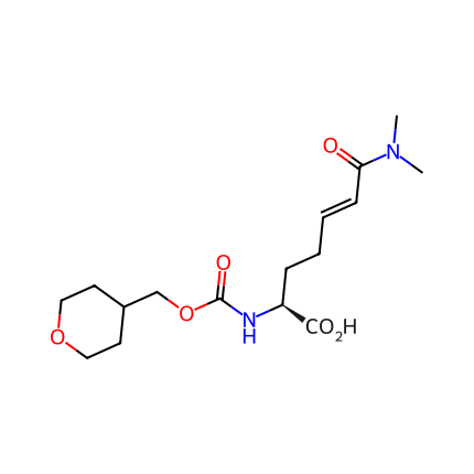 CN(C)C(=O)/C=C/CC[C@H](NC(=O)OCC1CCOCC1)C(=O)O